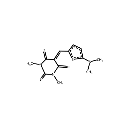 CN1C(=O)C(=Cc2ccc(N(C)C)s2)C(=O)N(C)C1=S